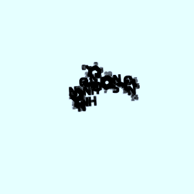 C[C@H]1CC[C@H](c2ccc3sc(C4CN(C)CCO4)nc3c2)N(C(=O)C(=O)Nc2cncc3cn[nH]c23)C1